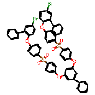 O=S(=O)(c1ccc(Oc2cc(Oc3ccc(S(=O)(=O)c4ccc(Oc5ccc(Br)cc5-c5ccccc5)cc4)cc3)cc(-c3ccccc3)c2)cc1)c1ccc(Oc2ccc(Br)cc2-c2ccccc2)cc1